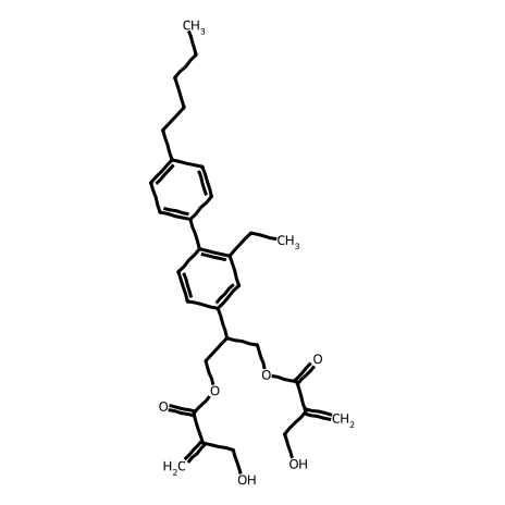 C=C(CO)C(=O)OCC(COC(=O)C(=C)CO)c1ccc(-c2ccc(CCCCC)cc2)c(CC)c1